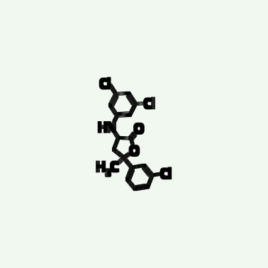 CC1(c2cccc(Cl)c2)CC(Nc2cc(Cl)cc(Cl)c2)C(=O)O1